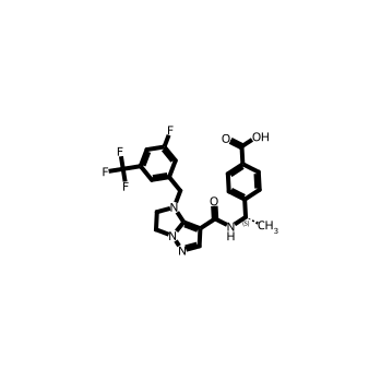 C[C@H](NC(=O)c1cnn2c1N(Cc1cc(F)cc(C(F)(F)F)c1)CC2)c1ccc(C(=O)O)cc1